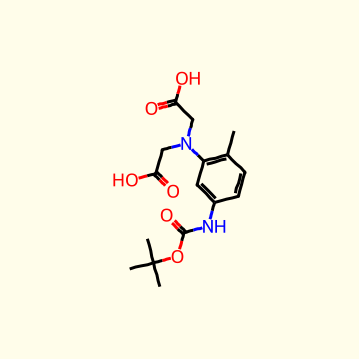 Cc1ccc(NC(=O)OC(C)(C)C)cc1N(CC(=O)O)CC(=O)O